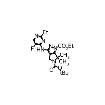 CCOC(=O)n1nc(Nc2nc(CC)ncc2F)c2c1C(C)(C)N(C(=O)OC(C)(C)C)C2